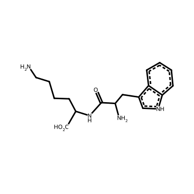 NCCCCC(NC(=O)C(N)Cc1c[nH]c2ccccc12)C(=O)O